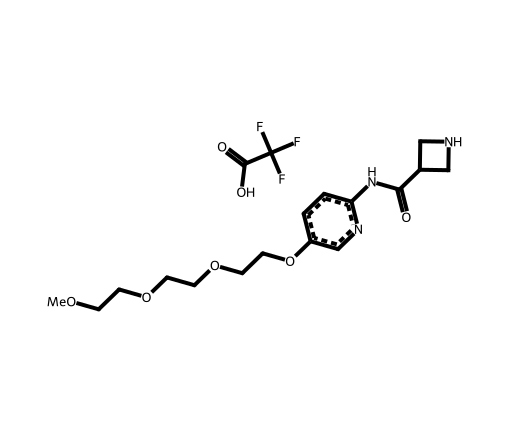 COCCOCCOCCOc1ccc(NC(=O)C2CNC2)nc1.O=C(O)C(F)(F)F